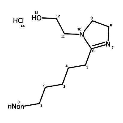 CCCCCCCCCCCCCCC1=NCCN1CCO.Cl